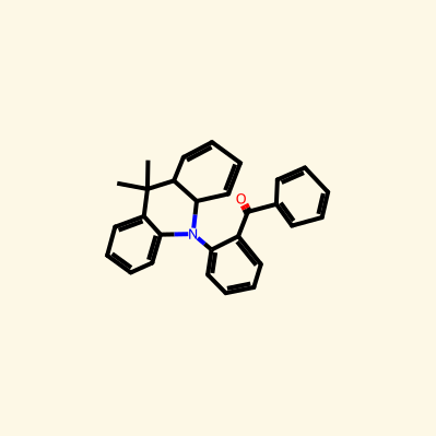 CC1(C)c2ccccc2N(c2ccccc2C(=O)c2ccccc2)C2C=CC=CC21